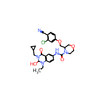 CCN1c2ccc(NC(=O)N3CCOCC3COc3ccc(C#N)c(Cl)c3)cc2C(=O)N(CC2CC2)C1O